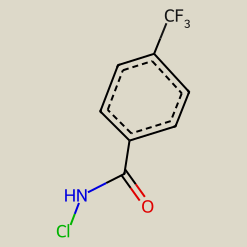 O=C(NCl)c1ccc(C(F)(F)F)cc1